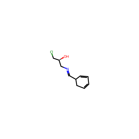 O[C@H](CCl)C/N=C/C1C=CC=CC1